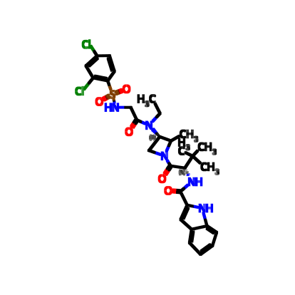 CCN(C(=O)CNS(=O)(=O)c1ccc(Cl)cc1Cl)[C@@H]1CN(C(=O)[C@@H](NC(=O)c2cc3ccccc3[nH]2)C(C)(C)C)C1C